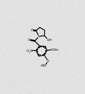 CCCCOc1cc([N+](=O)[O-])c(C(=O)N2C(=O)CCC2O)cc1OC